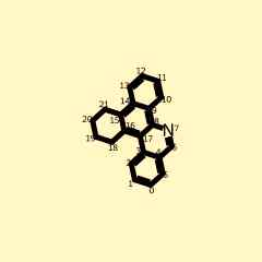 c1ccc2c(c1)cnc1c3ccccc3c3c(c21)CCCC3